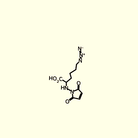 [N-]=[N+]=NCCCCC(NN1C(=O)C=CC1=O)C(=O)O